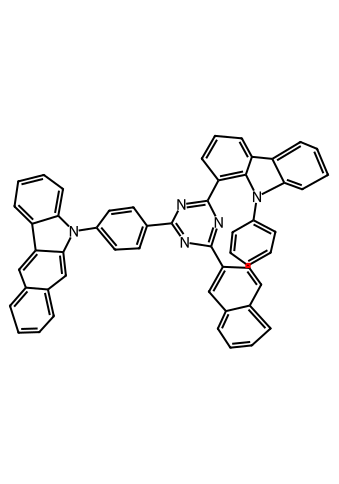 c1ccc(-n2c3ccccc3c3cccc(-c4nc(-c5ccc(-n6c7ccccc7c7cc8ccccc8cc76)cc5)nc(-c5ccc6ccccc6c5)n4)c32)cc1